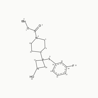 CC(C)(C)OC(=O)N1CCC(C2(Sc3cccc(F)c3)CC(O)C2)CC1